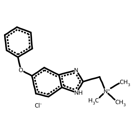 C[N+](C)(C)Cc1nc2cc(Oc3ccccc3)ccc2[nH]1.[Cl-]